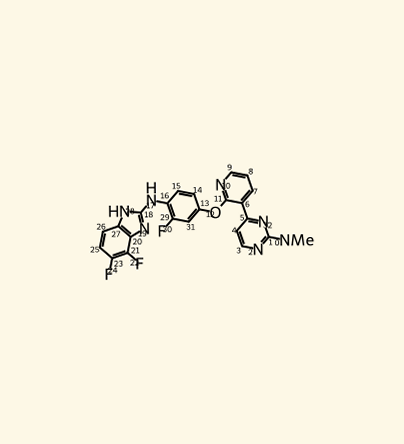 CNc1nccc(-c2cccnc2Oc2ccc(Nc3nc4c(F)c(F)ccc4[nH]3)c(F)c2)n1